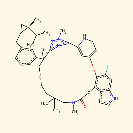 CC(C)[C@@]1(C)CC1Cc1cccc(C2(C)CCCCC(C)(C)CN(C)C(=O)Cc3c(c(F)cc4[nH]ccc34)OC3=CCNC(=C3)c3nc2nn3C)c1